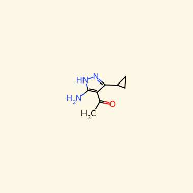 CC(=O)c1c(C2CC2)n[nH]c1N